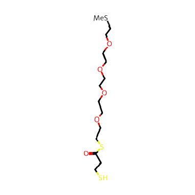 CSCCOCCOCCOCCOCCSC(=O)CCS